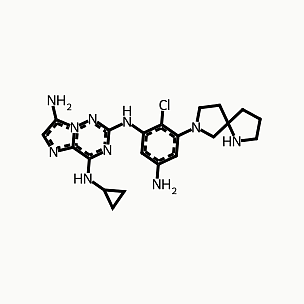 Nc1cc(Nc2nc(NC3CC3)c3ncc(N)n3n2)c(Cl)c(N2CCC3(CCCN3)C2)c1